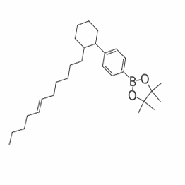 CCCCC=CCCCCCC1CCCCC1c1ccc(B2OC(C)(C)C(C)(C)O2)cc1